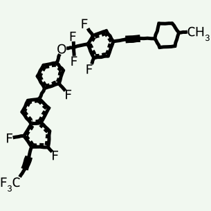 CC1CCC(C#Cc2cc(F)c(C(F)(F)Oc3ccc(-c4ccc5c(F)c(C#CC(F)(F)F)c(F)cc5c4)c(F)c3)c(F)c2)CC1